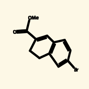 COC(=O)C1=Cc2ccc(Br)cc2CC1